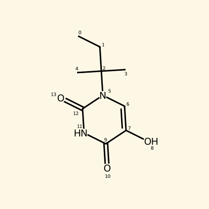 CCC(C)(C)n1cc(O)c(=O)[nH]c1=O